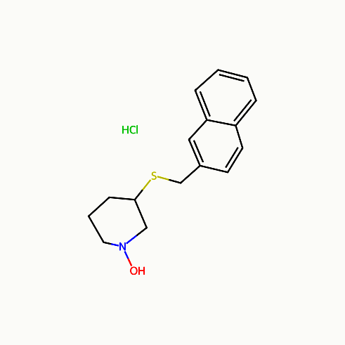 Cl.ON1CCCC(SCc2ccc3ccccc3c2)C1